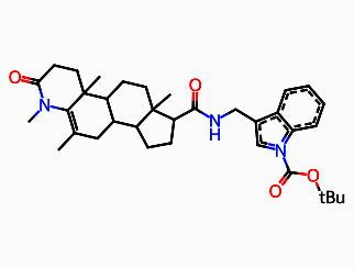 CC1=C2N(C)C(=O)CCC2(C)C2CCC3(C)C(C(=O)NCc4cn(C(=O)OC(C)(C)C)c5ccccc45)CCC3C2C1